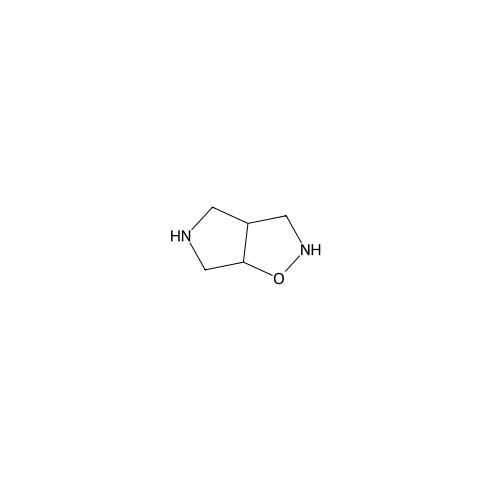 C1NCC2ONCC12